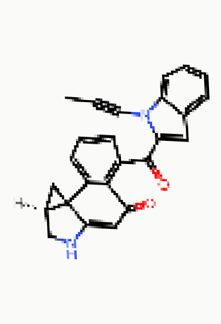 CC#Cn1c(C(=O)c2cccc3c2C(=O)C=C2NC[C@H]4C[C@]234)cc2ccccc21